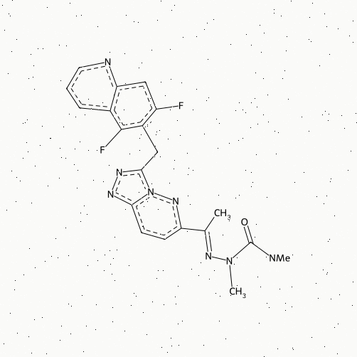 CNC(=O)N(C)/N=C(\C)c1ccc2nnc(Cc3c(F)cc4ncccc4c3F)n2n1